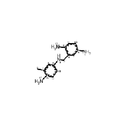 Cc1cc(NCc2cc(N)ccc2N)ccc1N